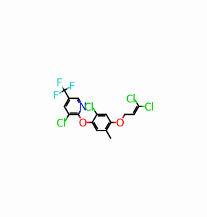 Cc1cc(Oc2ncc(C(F)(F)F)cc2Cl)c(Cl)cc1OCC=C(Cl)Cl